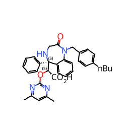 CCCCc1ccc(CN2C(=O)CN[C@](c3ccccc3)([C@H](Oc3nc(C)cc(C)n3)C(=O)O)c3ccccc32)cc1